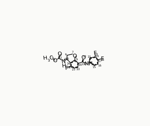 COC(=O)N[C@H]1CCOc2c(C(=O)Nc3ccc(F)c(F)c3)ccc(F)c21